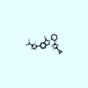 O=C1c2cc(-c3nnc(C(F)F)o3)ccc2CN1[C@@H]1CCCC[C@H]1c1noc(C2CC2)n1